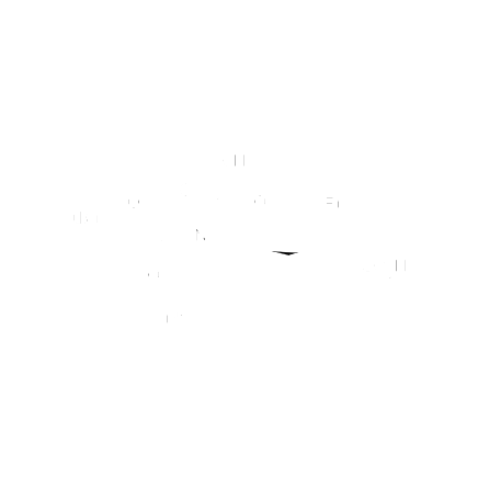 CC/C(=C\[C@@H]1OC(C)(C)N(C(=O)OC(C)(C)C)[C@H]1CC(C)C)C(=O)O